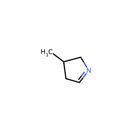 CC1CC=NC1